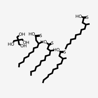 CCCCCCCCCC(C)CC(O)=S.CCCCCCCCCC(C)CC(O)=S.CCCCCCCCCC(C)CC(O)=S.CCCCCCCCCC(C)CC(O)=S.OCC(CO)(CO)CO